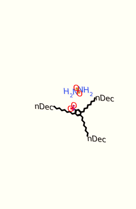 CCCCCCCCCCCCCCCCCCc1cc(CCCCCCCCCCCCCCCCCC)c(I(=O)=O)cc1CCCCCCCCCCCCCCCCCC.NS(N)(=O)=O